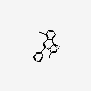 Cc1cccc2c1cc(-c1ccccc1)n1c(C)cnc21